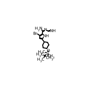 CC(C)(C)[Si](C)(C)OC1CCC(c2cc(Br)c(/C(N)=N\C=N)[nH]2)CC1